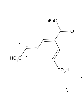 CC(C)COC(=O)C(C=CC(=O)O)=CC=CC(=O)O